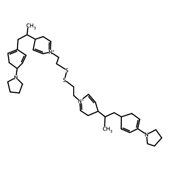 CC(CC1=CCC(N2CCCC2)C=C1)C1C=C[N+](CCSSCC[N+]2=CCC(C(C)CC3C=CC(N4CCCC4)=CC3)C=C2)=CC1